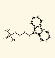 O=P(O)(O)CCCCn1c2ccccc2c2ccccc21